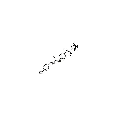 O=C(Nc1ccc(NC(=S)NCc2ccc(Cl)cc2)cc1)c1csnn1